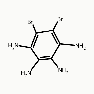 Nc1c(N)c(N)c(Br)c(Br)c1N